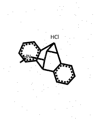 CNC1C2c3ccccc3C3C(c4ccccc42)C13.Cl